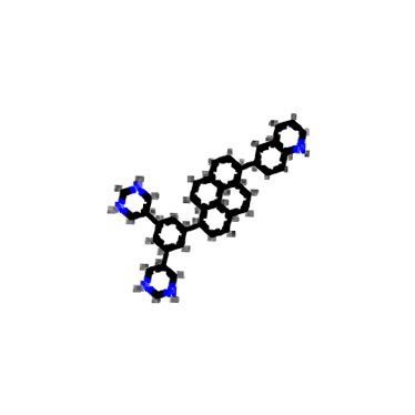 c1cnc2ccc(-c3ccc4ccc5c(-c6cc(-c7cncnc7)cc(-c7cncnc7)c6)ccc6ccc3c4c65)cc2c1